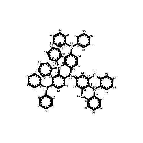 c1ccc(N(c2ccccc2)c2ccc3c(c2)[Si](c2ccccc2)(c2ccccc2)c2cc(N(c4ccccc4)c4ccccc4)ccc2N3c2cc3c4c(c2)Sc2ccccc2B4c2ccccc2O3)cc1